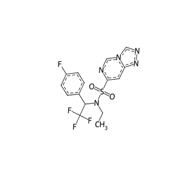 CCN(C(c1ccc(F)cc1)C(F)(F)F)S(=O)(=O)c1cc2nncn2cn1